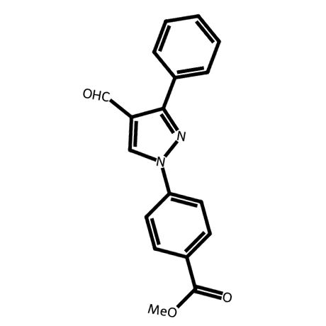 COC(=O)c1ccc(-n2cc(C=O)c(-c3ccccc3)n2)cc1